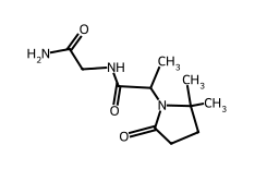 CC(C(=O)NCC(N)=O)N1C(=O)CCC1(C)C